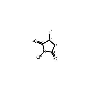 O=C1CC(I)C(=O)N1Cl